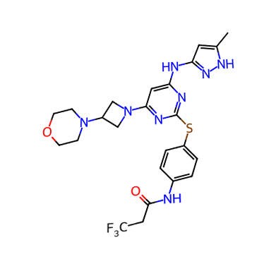 Cc1cc(Nc2cc(N3CC(N4CCOCC4)C3)nc(Sc3ccc(NC(=O)CC(F)(F)F)cc3)n2)n[nH]1